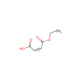 [CH2]COC(=O)/C=C\C(=O)O